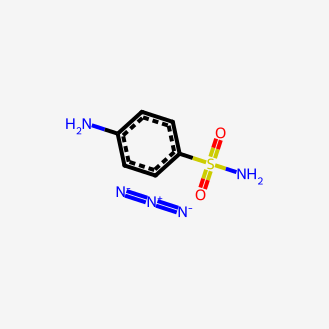 Nc1ccc(S(N)(=O)=O)cc1.[N-]=[N+]=[N-]